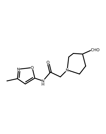 Cc1cc(NC(=O)CN2CCC(C=O)CC2)on1